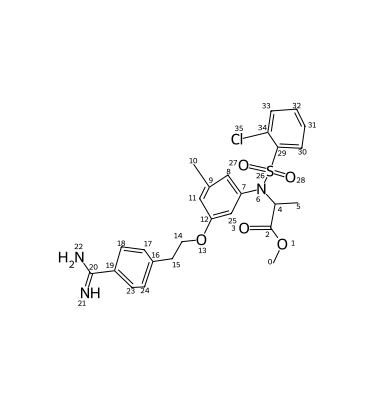 COC(=O)C(C)N(c1cc(C)cc(OCCc2ccc(C(=N)N)cc2)c1)S(=O)(=O)c1ccccc1Cl